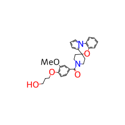 COc1cc(C(=O)N2CCC3(CC2)Oc2ccccc2-n2cccc23)ccc1OCCCO